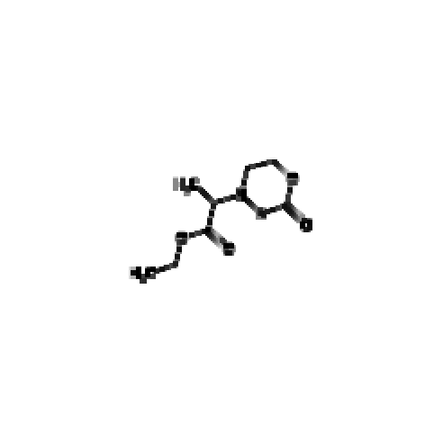 CCOC(=O)C(C)N1CCOC(=O)S1